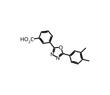 Cc1ccc(-c2nnc(-c3cccc(C(=O)O)c3)o2)cc1C